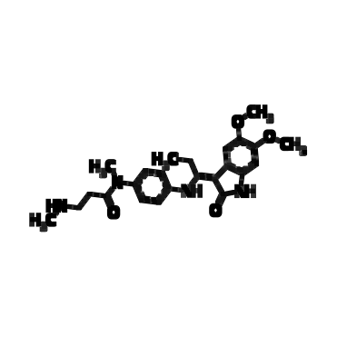 CC/C(Nc1ccc(N(C)C(=O)CCNC)cc1)=C1/C(=O)Nc2cc(OC)c(OC)cc21